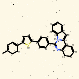 CC1=CC=C(c2ccc(-c3ccc(-c4nc5c(c6cc7ccccc7n46)C=CCC5)cc3)s2)CC1